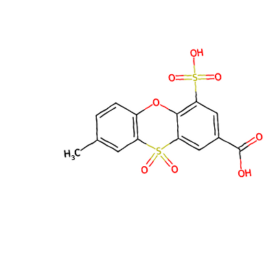 Cc1ccc2c(c1)S(=O)(=O)c1cc(C(=O)O)cc(S(=O)(=O)O)c1O2